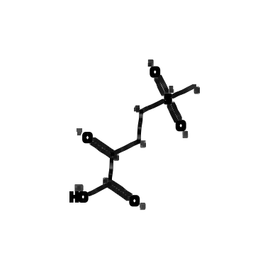 CS(=O)(=O)CCC(=O)C(=O)O